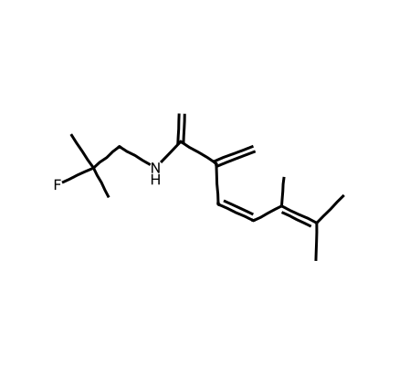 C=C(/C=C\C(C)=C(C)C)C(=C)NCC(C)(C)F